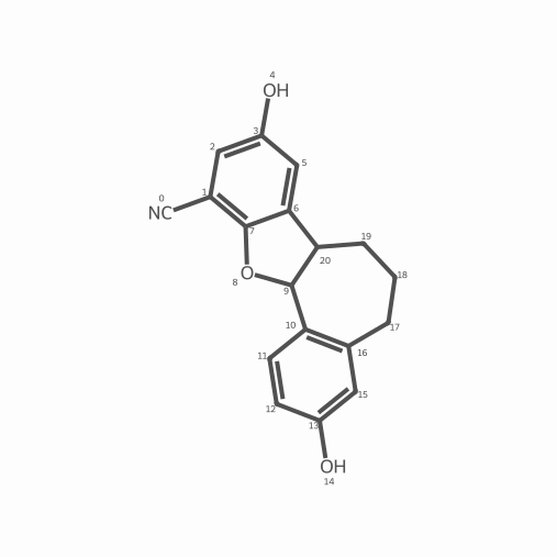 N#Cc1cc(O)cc2c1OC1c3ccc(O)cc3CCCC21